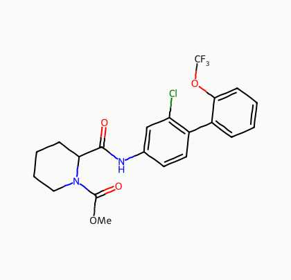 COC(=O)N1CCCCC1C(=O)Nc1ccc(-c2ccccc2OC(F)(F)F)c(Cl)c1